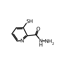 NNC(=O)c1ncccc1S